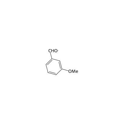 COc1cccc([C]=O)c1